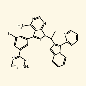 CC(c1cc2ccccn2c1-c1ccccn1)n1nc(-c2cc(F)cc(/C(=N/N)NN)c2)c2c(N)ncnc21